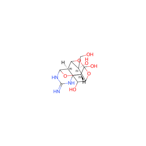 N=C1NC2O[C@@H]3C4(O)OC5C(O)C3(N1)[C@@H]2C(O4)[C@@]5(O)CO